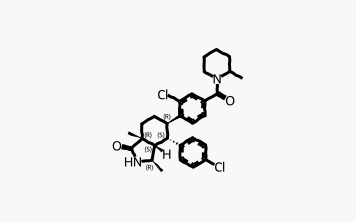 CC1CCCCN1C(=O)c1ccc([C@@H]2CC[C@@]3(C)C(=O)N[C@H](C)[C@H]3[C@H]2c2ccc(Cl)cc2)c(Cl)c1